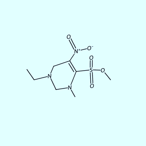 CCN1CC([N+](=O)[O-])=C(S(=O)(=O)OC)N(C)C1